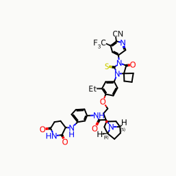 CCc1cc(N2C(=S)N(c3cnc(C#N)c(C(F)(F)F)c3)C(=O)C23CCC3)ccc1OCCC1C[C@H]2CC[C@@H](C1)N2CC(=O)Nc1cccc(NC2CCC(=O)NC2=O)c1